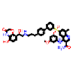 COc1cccc(Nc2c(C(N)=O)cnc3c(C)cc(S(=O)(=O)c4cccc(-c5ccc(CCCNC[C@H](O)c6ccc(O)c7c6OCC(=O)N7)cc5)c4)cc23)c1